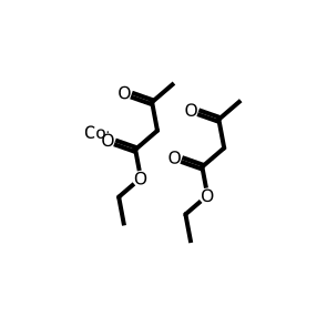 CCOC(=O)CC(C)=O.CCOC(=O)CC(C)=O.[Co]